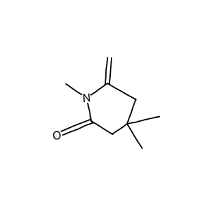 C=C1CC(C)(C)CC(=O)N1C